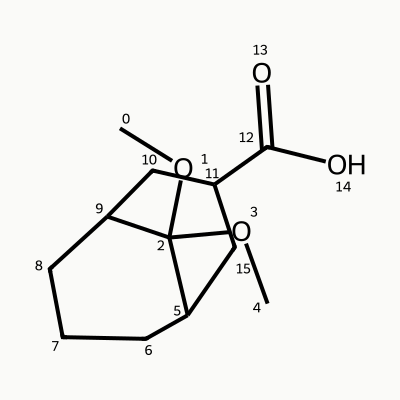 COC1(OC)C2CCCC1CC(C(=O)O)C2